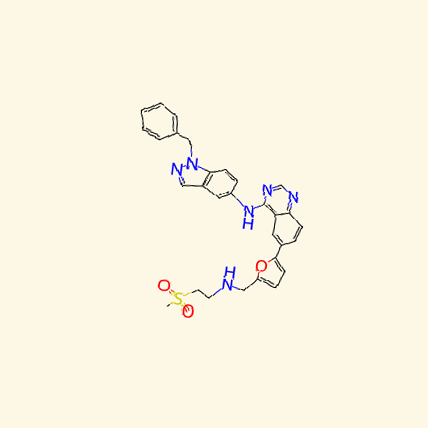 CS(=O)(=O)CCNCc1ccc(-c2ccc3ncnc(Nc4ccc5c(cnn5Cc5ccccc5)c4)c3c2)o1